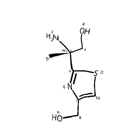 C[C@@](N)(CO)c1nc(CO)cs1